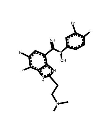 CN(C)CCc1nc2c(C(=N)N(O)c3ccc(F)c(Br)c3)cc(F)c(F)c2[nH]1